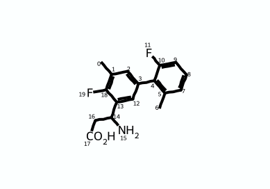 Cc1cc(-c2c(C)cccc2F)cc(C(N)CC(=O)O)c1F